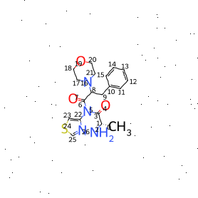 C[C@H](N)C(=O)N(C(=O)C(Cc1ccccc1)N1CCOCC1)c1cscn1